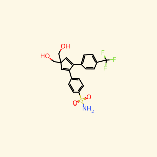 NS(=O)(=O)c1ccc(C2=CC(CO)(CO)C=C2c2ccc(C(F)(F)F)cc2)cc1